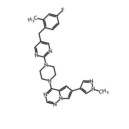 Cc1cc(F)ccc1Cc1cnc(N2CCN(c3ncnn4cc(-c5cnn(C)c5)cc34)CC2)nc1